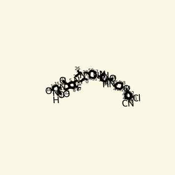 CC1CN(c2cc3c(cc2F)C(=O)N(C2CCC(=O)NC2=O)C3=O)CC(C)N1CC1CCN(c2ccc(C(=O)NC3CCC(Oc4ccc(C#N)c(Cl)c4)CC3)nn2)CC1